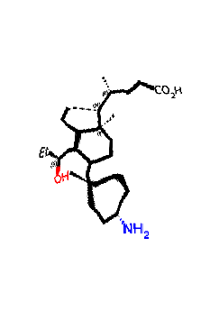 CC[C@H](O)C1C2CC[C@H]([C@H](C)CCC(=O)O)[C@@]2(C)CCC1[C@]1(C)CC[C@H](N)CC1